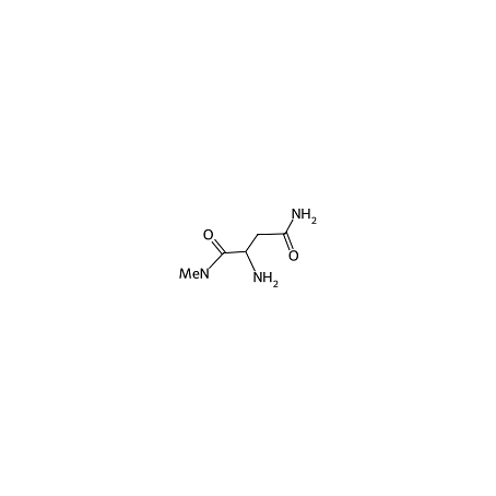 CNC(=O)C(N)CC(N)=O